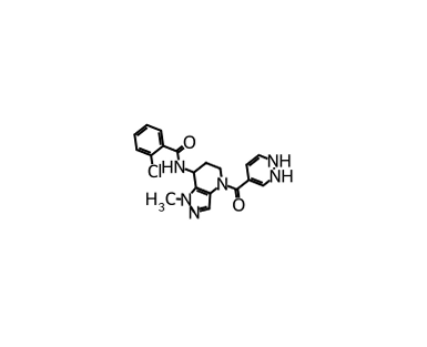 Cn1ncc2c1C(NC(=O)c1ccccc1Cl)CCN2C(=O)C1=CNNC=C1